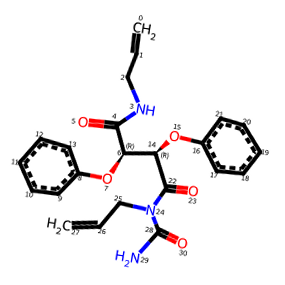 C=CCNC(=O)[C@H](Oc1ccccc1)[C@@H](Oc1ccccc1)C(=O)N(CC=C)C(N)=O